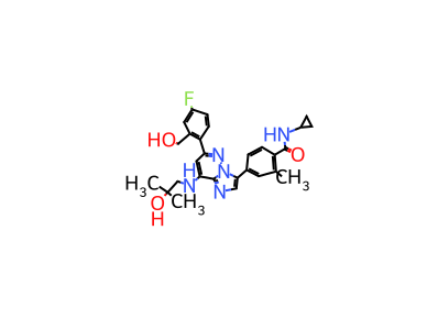 Cc1cc(-c2cnc3c(NCC(C)(C)O)cc(-c4ccc(F)cc4CO)nn23)ccc1C(=O)NC1CC1